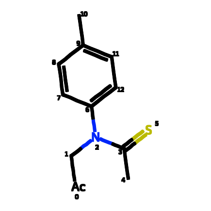 CC(=O)CN(C(C)=S)c1ccc(C)cc1